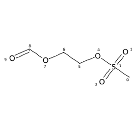 CS(=O)(=O)OCCO[C]=O